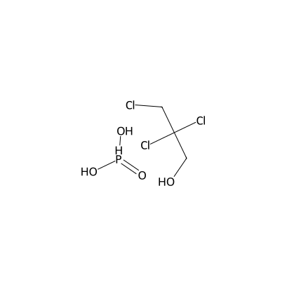 O=[PH](O)O.OCC(Cl)(Cl)CCl